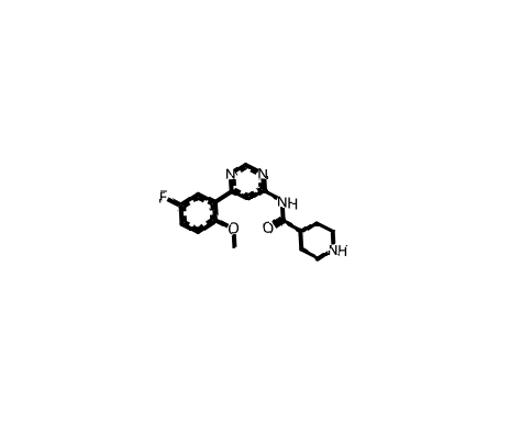 COc1ccc(F)cc1-c1cc(NC(=O)C2CCNCC2)ncn1